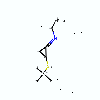 CCCCCC/N=C1\CC1S[Si](C)(C)C